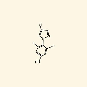 Oc1cc(F)c(-n2cc(Cl)cn2)c(F)c1